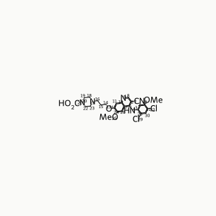 COc1cc(Nc2c(C#N)cnc3cc(OCCCN4CCN(C(=O)O)CC4)c(OC)cc23)c(Cl)cc1Cl